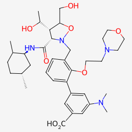 CC(O)[C@@H]1C(CO)ON(Cc2cccc(-c3cc(C(=O)O)cc(N(C)C)c3)c2OCCN2CCOCC2)[C@@H]1C(=O)N[C@H]1C[C@H](C)CCC1C